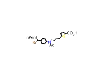 CCCCCC(Br)c1ccc(N(CCCCc2ccc(C(=O)O)s2)C(C)=O)cc1